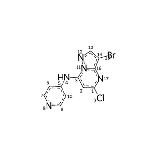 Clc1cc(Nc2ccncc2)n2ncc(Br)c2n1